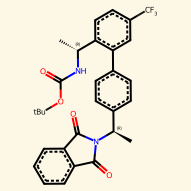 C[C@H](c1ccc(-c2cc(C(F)(F)F)ccc2[C@@H](C)NC(=O)OC(C)(C)C)cc1)N1C(=O)c2ccccc2C1=O